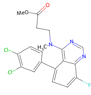 COC(=O)CCN(C)c1ncnc2c(F)ccc(-c3ccc(Cl)c(Cl)c3)c12